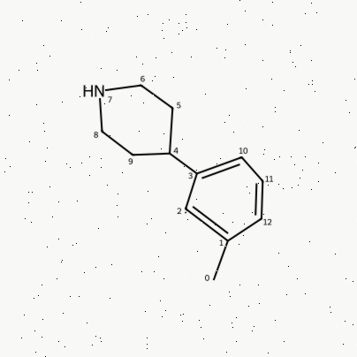 Cc1[c]c(C2CCNCC2)ccc1